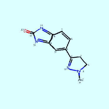 CC(=O)N1CCC(c2ccc3c(c2)=NC(=O)N=3)=N1